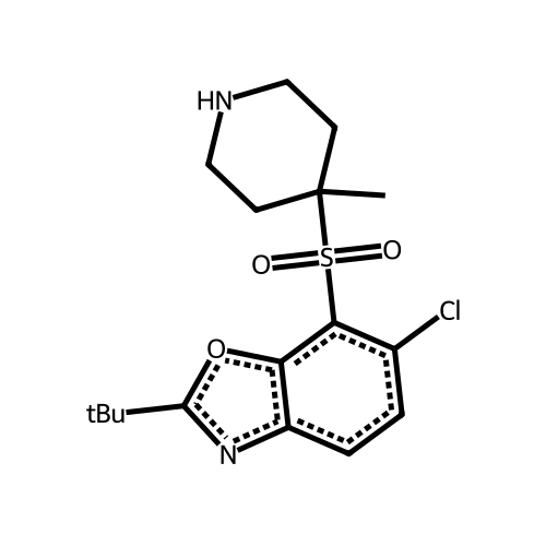 CC(C)(C)c1nc2ccc(Cl)c(S(=O)(=O)C3(C)CCNCC3)c2o1